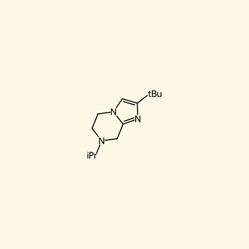 CC(C)N1CCn2cc(C(C)(C)C)nc2C1